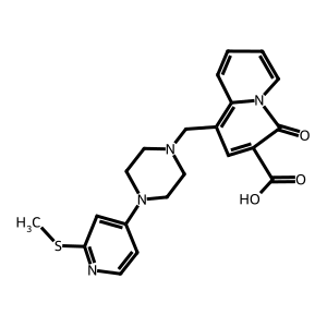 CSc1cc(N2CCN(Cc3cc(C(=O)O)c(=O)n4ccccc34)CC2)ccn1